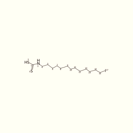 S=C(S)NCCCCCCCCCCCCCI